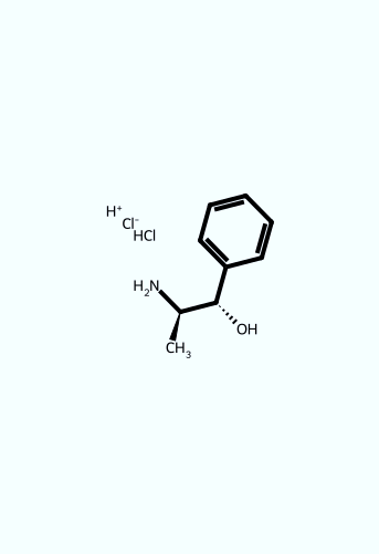 C[C@@H](N)[C@@H](O)c1ccccc1.Cl.[Cl-].[H+]